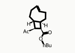 CCCCOC(=O)[C@@H]1[C@@H]2CC/C=C/CC[C@H]2[C@@H]1C(C)=O